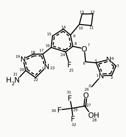 Cn1ccnc1COc1c(C2CCC2)ccc(-c2cnc(N)cn2)c1F.O=C(O)C(F)(F)F